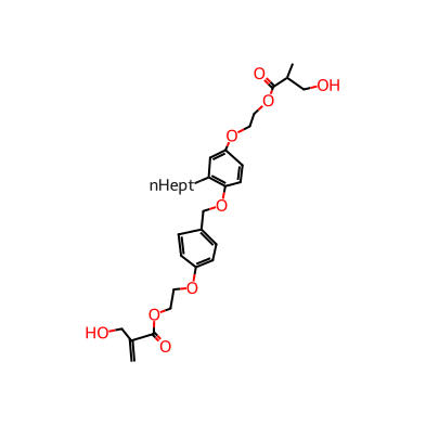 C=C(CO)C(=O)OCCOc1ccc(COc2ccc(OCCOC(=O)C(C)CO)cc2CCCCCCC)cc1